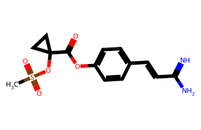 CS(=O)(=O)OC1(C(=O)Oc2ccc(C=CC(=N)N)cc2)CC1